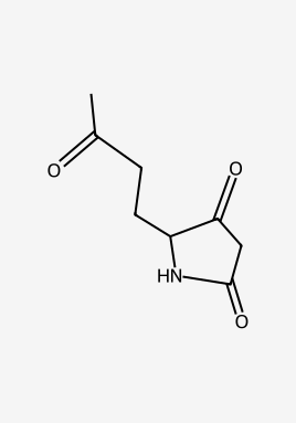 CC(=O)CCC1NC(=O)CC1=O